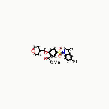 CCc1ccc2c(c1)C(C)CN2S(=O)(=O)c1ccc(OCC2CCOCC2)c(C(=O)OC)c1